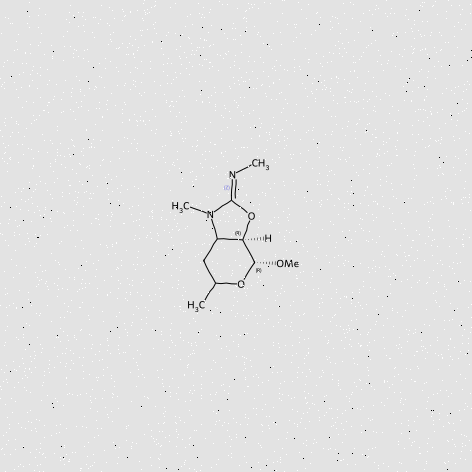 C/N=C1\O[C@@H]2C(CC(C)O[C@H]2OC)N1C